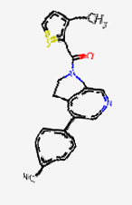 Cc1ccsc1C(=O)N1CCc2c(-c3ccc(C#N)cc3)cncc21